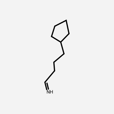 N=CCCCC1CCCC1